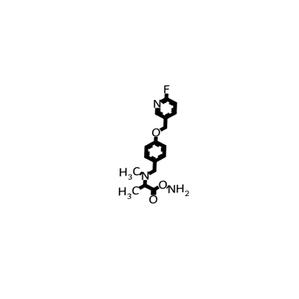 CC(C(=O)ON)N(C)Cc1ccc(OCc2ccc(F)nc2)cc1